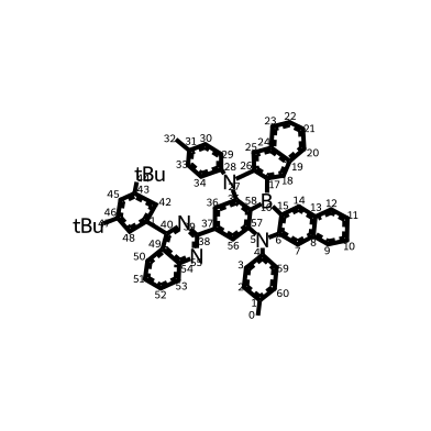 Cc1ccc(N2c3cc4ccccc4cc3B3c4cc5ccccc5cc4N(c4ccc(C)cc4)c4cc(-c5nc(-c6cc(C(C)(C)C)cc(C(C)(C)C)c6)c6ccccc6n5)cc2c43)cc1